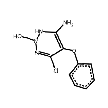 NC1=C(Oc2ccccc2)C(Cl)=NN(O)N1